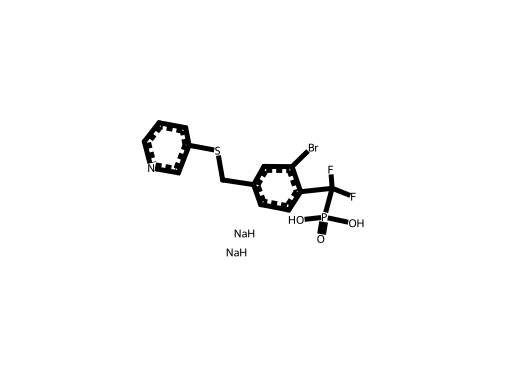 O=P(O)(O)C(F)(F)c1ccc(CSc2cccnc2)cc1Br.[NaH].[NaH]